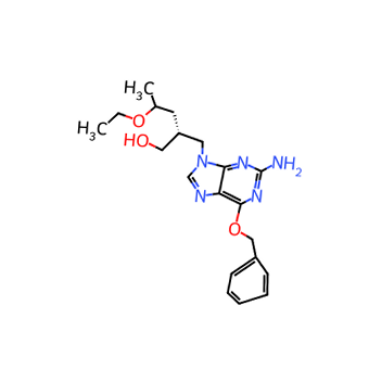 CCOC(C)C[C@@H](CO)Cn1cnc2c(OCc3ccccc3)nc(N)nc21